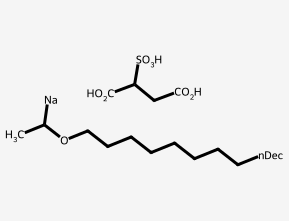 CCCCCCCCCCCCCCCCCCO[CH](C)[Na].O=C(O)CC(C(=O)O)S(=O)(=O)O